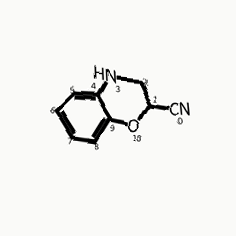 N#CC1CNc2ccccc2O1